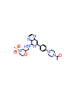 CC(=O)N1CCN(c2ccc(-c3cc4nccnc4c(NCC4CN(S(C)(=O)=O)CCO4)n3)cc2)CC1